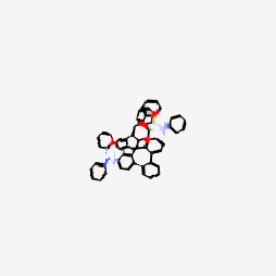 c1ccc(N(c2ccccc2)c2ccc3c(c2)C2(c4cc(N(c5ccccc5)c5ccccc5)ccc4-c4ccccc4-3)c3ccccc3-c3cc4c(cc32)sc2ccccc24)cc1